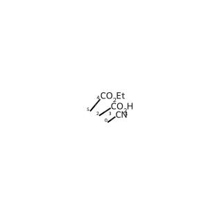 CC#N.CC(=O)O.CCOC(C)=O